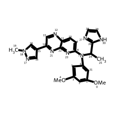 COc1cc(OC)cc(N(c2ccc3ncc(-c4cnn(C)c4)nc3n2)C(C)c2ncc[nH]2)c1